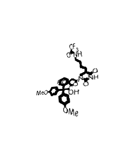 COc1ccc(C(c2ccccc2)(c2ccc(OC)cc2)C(O)[C@H]2O[C@@H](n3cc(C=CCCNC(=O)C(F)(F)F)c(=O)[nH]c3=O)C[C@@H]2O)cc1